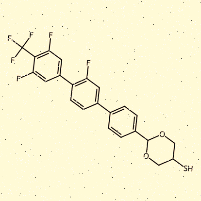 Fc1cc(-c2ccc(C3OCC(S)CO3)cc2)ccc1-c1cc(F)c(C(F)(F)F)c(F)c1